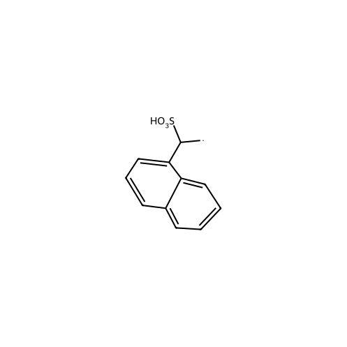 [CH2]C(c1cccc2ccccc12)S(=O)(=O)O